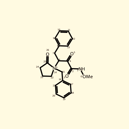 CONC(=O)C(=O)C(Cc1ccccc1)[N+]1(Cc2ccccc2)CCCC1=O